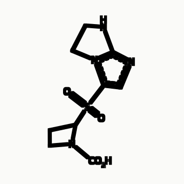 O=C(O)N1CCC1S(=O)(=O)c1cnc2n1CCN2